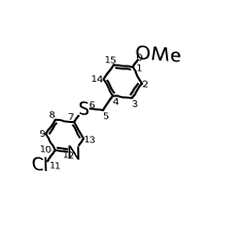 COc1ccc(CSc2ccc(Cl)nc2)cc1